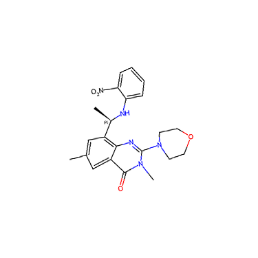 Cc1cc([C@@H](C)Nc2ccccc2[N+](=O)[O-])c2nc(N3CCOCC3)n(C)c(=O)c2c1